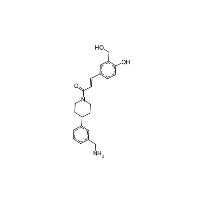 NCc1cccc(C2CCN(C(=O)C=Cc3ccc(O)c(CO)c3)CC2)c1